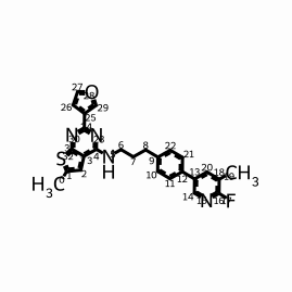 Cc1cc2c(NCCCc3ccc(-c4cnc(F)c(C)c4)cc3)nc(-c3ccoc3)nc2s1